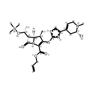 C=CCOC(=O)C1=C(Sc2nc(C3=CCN(C)[C@H](CC)C3)cs2)[C@H](C)[C@@H]2[C@@H]([C@@H](C)O[Si](C)(C)C)C(=O)N12